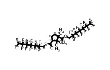 CC1(C(=O)OCC(F)(F)C(F)(F)C(F)(F)C(F)(F)C(F)(F)C(F)F)CCC(C(=O)OCC(F)(F)C(F)(F)C(F)(F)C(F)(F)C(F)(F)C(F)F)C1(C)C